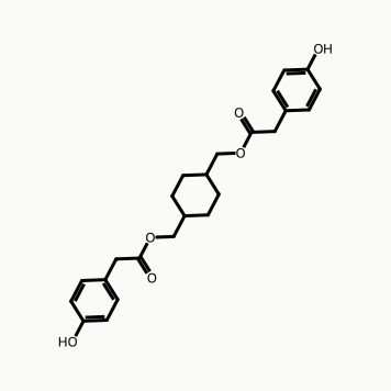 O=C(Cc1ccc(O)cc1)OCC1CCC(COC(=O)Cc2ccc(O)cc2)CC1